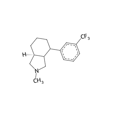 CN1CC2C(c3cccc(C(F)(F)F)c3)CCC[C@@H]2C1